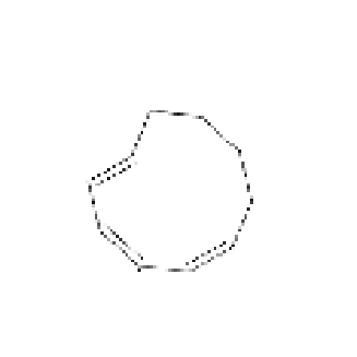 [C]1=C\C=C\CCCC\C=C/1